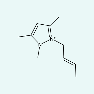 CC=CC[n+]1c(C)cc(C)n1C